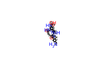 NCc1ccc2c(c1)CCN([C@H]1CCCCC(=O)Nc3cc(NC(=O)O)ccc3-c3c[nH]c1n3)C2=O